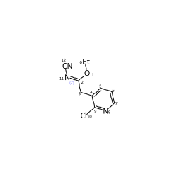 CCO/C(Cc1cccnc1Cl)=N\C#N